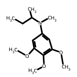 CCC(C)N(C)c1cc(OC)c(OC)c(OC)c1